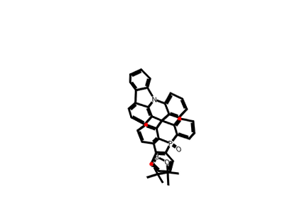 CC1(C)OB(c2cccc3c2P(=O)(c2ccccc2)c2ccccc2C32c3ccccc3-n3c4ccccc4c4cccc2c43)OC1(C)C